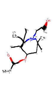 CCC1(C)CC(OC(=O)NC)C(C)C(C)(CC)N1CCO